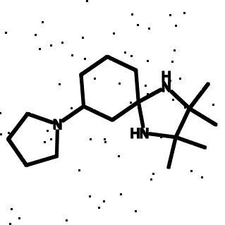 CC1(C)NC2(CCCC(N3CCCC3)C2)NC1(C)C